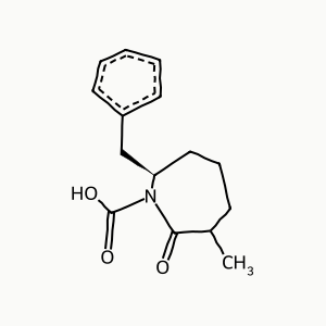 CC1CCC[C@H](Cc2ccccc2)N(C(=O)O)C1=O